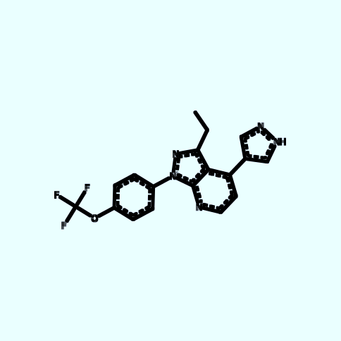 CCc1nn(-c2ccc(OC(F)(F)F)cc2)c2nccc(-c3cn[nH]c3)c12